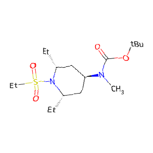 CC[C@@H]1C[C@@H](N(C)C(=O)OC(C)(C)C)C[C@H](CC)N1S(=O)(=O)CC